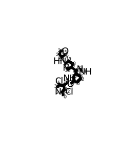 Cc1ncc(Cl)c([C@@H](N)Oc2ccc3[nH]nc(-c4ccc(N[C@H]5CCOC5)nc4)c3c2)c1Cl